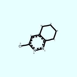 Clc1cc2c(nn1)CCCC2